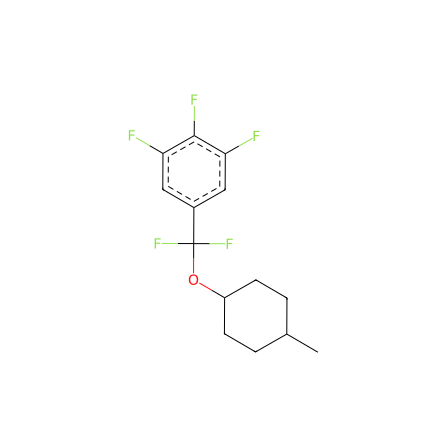 CC1CCC(OC(F)(F)c2cc(F)c(F)c(F)c2)CC1